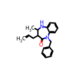 C=CCC1C(=O)N(Cc2ccccc2)c2ccccc2NC1C